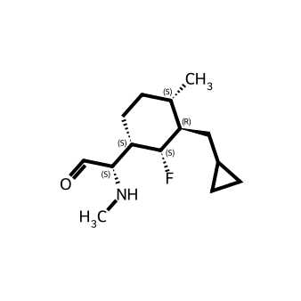 CN[C@H](C=O)[C@@H]1CC[C@H](C)[C@@H](CC2CC2)[C@@H]1F